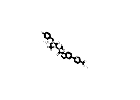 C[C@H](N(Cc1ccc(F)cc1)C(=O)CN1C(=O)O[C@@]2(CCc3cc(-c4ccc(C(N)=O)cn4)ccc32)C1=O)C(F)(F)F